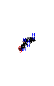 Cc1c(Nc2c(C#N)cnc3sc(-c4ccc(NS(C)(=O)=O)cc4)c(C)c23)ccc2[nH]ccc12